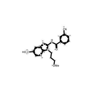 COCCCn1c(NC(=O)c2cccc(C#N)c2)nc2cc(C(=O)O)cnc21